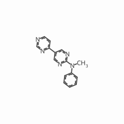 CN(c1ccccc1)c1ncc(-c2ccncn2)cn1